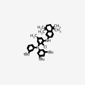 Cc1cc(Nc2ccc3c(c2)C(C)(C)CCC3(C)C)c(Cl)c(N(c2cccc(C(C)(C)C)c2)c2cc(C(C)(C)C)cc(C(C)(C)C)c2)c1